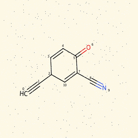 C#CC1C=CC(=O)C(C#N)=C1